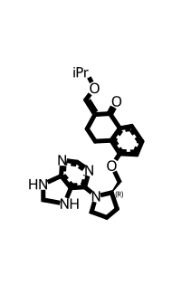 CC(C)OC=C1CCc2c(OC[C@H]3CCCN3c3ncnc4c3NCN4)cccc2C1=O